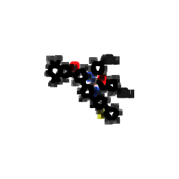 CC(C)(C)c1ccc(N2B3c4oc5ccc(C(C)(C)C)cc5c4-n4c5cc6c(cc5c5ccc(c3c54)-c3cc4c(cc32)oc2cc3c(cc24)C(C)(C)CCC3(C)C)sc2ccccc26)cc1